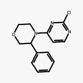 Clc1nccc(N2CCOCC2c2ccccc2)n1